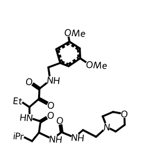 CCC(NC(=O)C(CC(C)C)NC(=O)NCCN1CCOCC1)C(=O)C(=O)NCc1cc(OC)cc(OC)c1